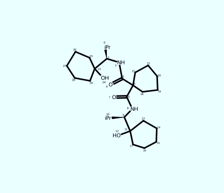 CC(C)[C@@H](NC(=O)C1(C(=O)N[C@H](C(C)C)C2(O)CCCCC2)CCCCC1)C1(O)CCCCC1